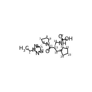 CCn1nnc([C@@H]2CCCN2C(=O)[C@@H](CNC(=O)O)CC2CCCC2)n1